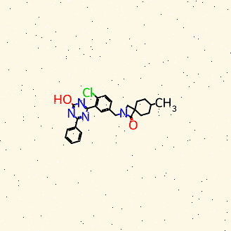 CC1CCC2(CC1)CN(Cc1ccc(Cl)c(-c3nc(O)nc(-c4ccccc4)n3)c1)C2=O